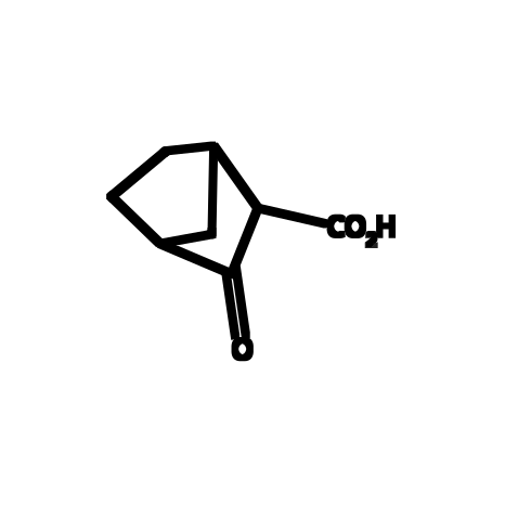 O=C(O)C1C(=O)C2CCC1C2